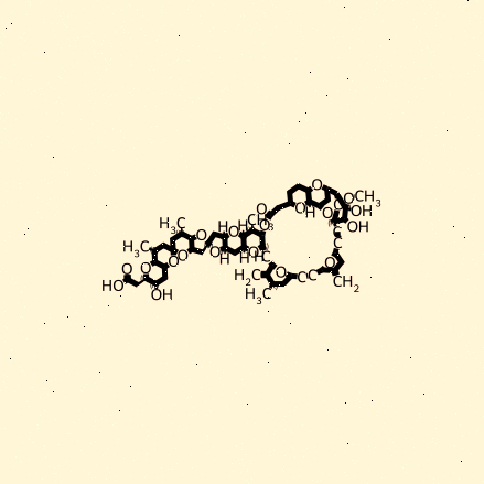 C=C1CC2CC[C@@]34OC5CC(OC6CCC(CC(=O)OC7[C@H](CC8OC(CCC1O2)C[C@@H](C)C8=C)O[C@H]1C[C@H]2O[C@@]8(CC9OC%10(C[C@H](C)C%11O[C@H](CC(=O)O)[C@H](O)CC%11O%10)C[C@H](C)C9O8)C[C@H]2O[C@H]1[C@@H]7C)O[C@@H]65)C(O3)[C@](O)(OC)C4O